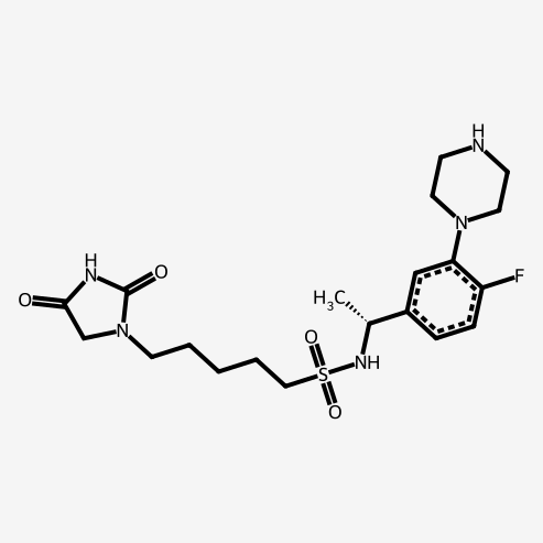 C[C@@H](NS(=O)(=O)CCCCCN1CC(=O)NC1=O)c1ccc(F)c(N2CCNCC2)c1